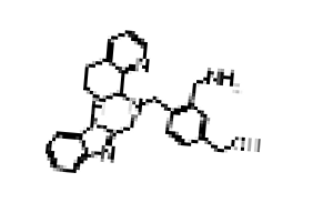 NCc1cc(CO)ccc1CN(Cc1nc2ccccc2[nH]1)C1CCCc2cccnc21